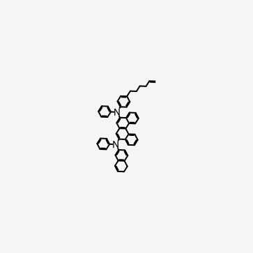 C=CCCCCc1ccc(N(c2ccccc2)c2cc3cc(N(c4ccccc4)c4ccc5c(c4)C=CCC5)c4ccccc4c3c3ccccc23)cc1